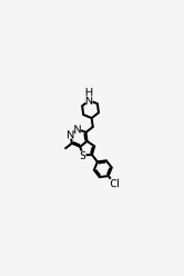 Cc1nnc(CC2CCNCC2)c2cc(-c3ccc(Cl)cc3)sc12